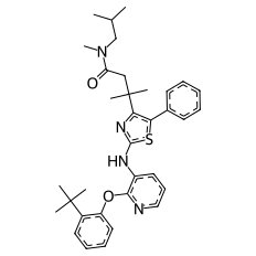 CC(C)CN(C)C(=O)CC(C)(C)c1nc(Nc2cccnc2Oc2ccccc2C(C)(C)C)sc1-c1ccccc1